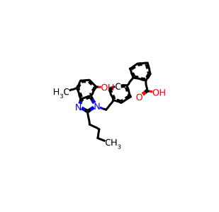 CCCCc1nc2c(C)ccc(O)c2n1Cc1ccc(-c2ccccc2C(=O)O)cc1